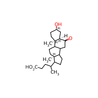 CC(CCC(=O)O)C1CCC2C3CC(=O)[C@@H]4C[C@H](O)CC[C@]4(C)C3CC[C@]12C